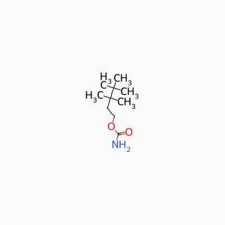 CC(C)(C)C(C)(C)CCOC(N)=O